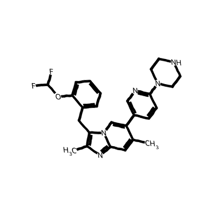 Cc1cc2nc(C)c(Cc3ccccc3OC(F)F)n2cc1-c1ccc(N2CCNCC2)nc1